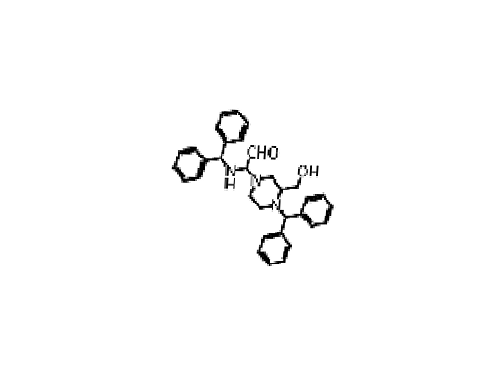 O=CC(NC(c1ccccc1)c1ccccc1)N1CCN(C(c2ccccc2)c2ccccc2)C(CO)C1